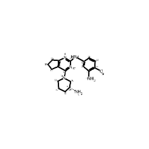 Nc1cc(Nc2nc3c(c(N4CCC[C@@H](N)C4)n2)CCC3)ccc1Cl